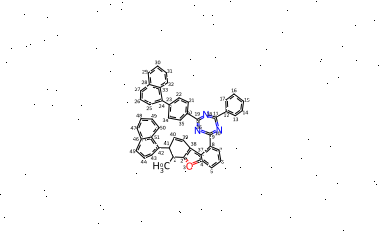 CC1c2oc3cccc(-c4nc(-c5ccccc5)nc(-c5ccc(-c6cccc7ccccc67)cc5)n4)c3c2C=CC1c1cccc2ccccc12